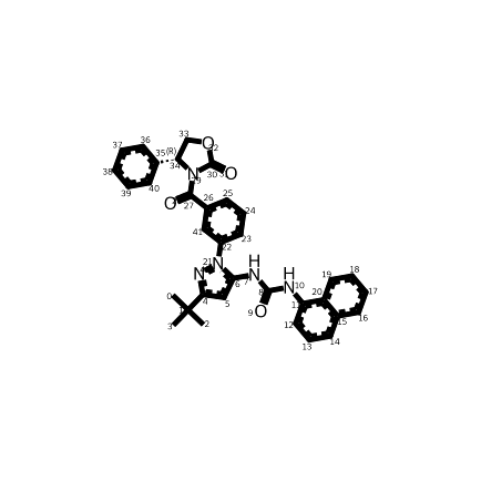 CC(C)(C)c1cc(NC(=O)Nc2cccc3ccccc23)n(-c2cccc(C(=O)N3C(=O)OC[C@H]3c3ccccc3)c2)n1